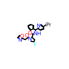 CC(C)c1ccc(C(NC(=O)C2CC(F)CN2C(=O)Cc2ncco2)c2ccccc2)nc1